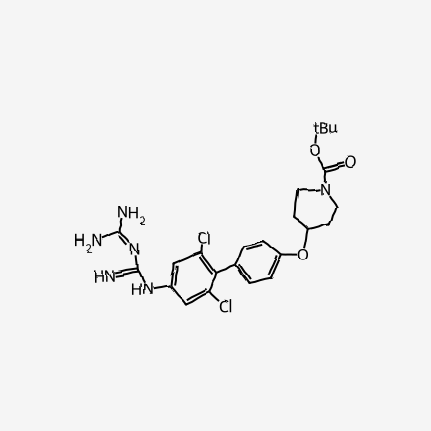 CC(C)(C)OC(=O)N1CCC(Oc2ccc(-c3c(Cl)cc(NC(=N)N=C(N)N)cc3Cl)cc2)CC1